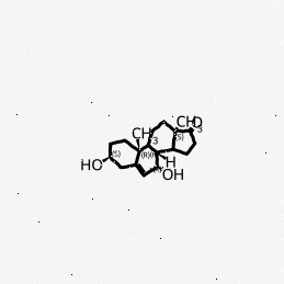 C[C@]12CC[C@H](O)CC1=C[C@H](O)[C@@H]1C2CC[C@]2(C)C(=O)CCC12